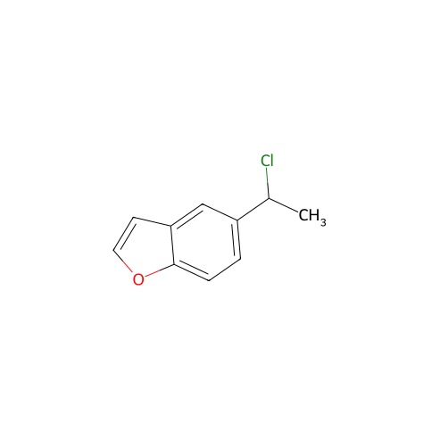 CC(Cl)c1ccc2occc2c1